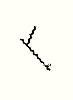 C=CC(=O)OCCCCCCCCCCC(CCC)CCCCC=CCC